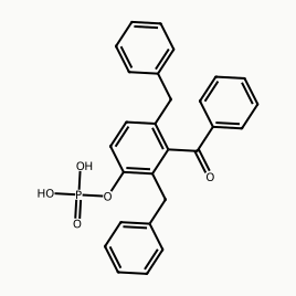 O=C(c1ccccc1)c1c(Cc2ccccc2)ccc(OP(=O)(O)O)c1Cc1ccccc1